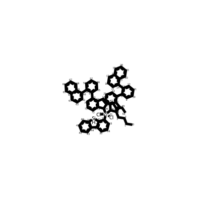 CCCCC1=Cc2c(-c3ccccc3-c3cccc4ccccc34)cccc2[CH]1[Zr]([Cl])([Cl])([c]1cccc2c1[SiH2]c1ccccc1-2)[CH]1C(CCCC)=Cc2c(-c3ccccc3-c3cccc4ccccc34)cccc21